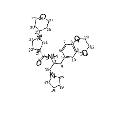 O=C(NC(Cc1ccc2c(c1)OCCO2)CN1CCCC1)[C@@H]1CCN(C2CCOCC2)C1